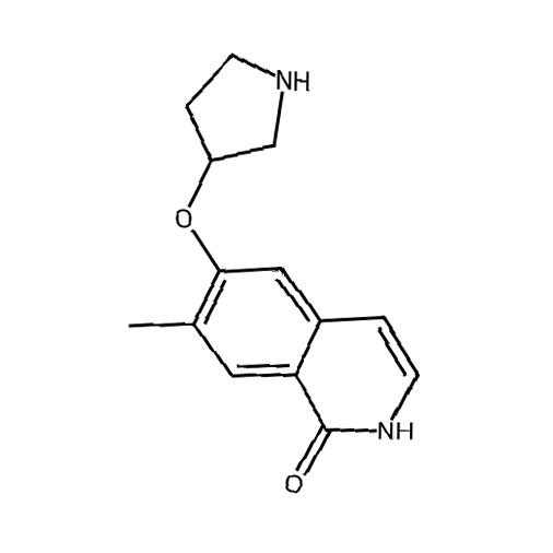 Cc1cc2c(=O)[nH]ccc2cc1OC1CCNC1